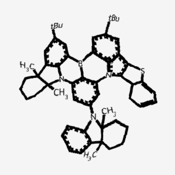 CC(C)(C)c1cc2c3c(c1)C1(C)CCCCC1(C)N3c1cc(N3c4ccccc4C4(C)CCCCC34C)cc3c1B2c1cc(C(C)(C)C)cc2c4c(n-3c12)C1CC=CC=C1S4